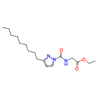 CCCCCCCCCc1ccn(C(=O)NCC(=O)OCC)n1